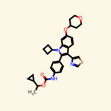 CC(OC(=O)Nc1ccc(-c2c(-c3cscn3)c3ccc(OC4CCOCC4)cc3n2C2CCC2)cc1)C1CC1